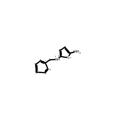 Nc1ccc(NCc2ccccc2)s1